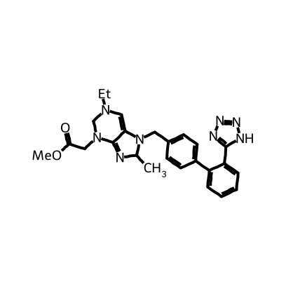 CCN1C=C2C(=NC(C)N2Cc2ccc(-c3ccccc3-c3nnn[nH]3)cc2)N(CC(=O)OC)C1